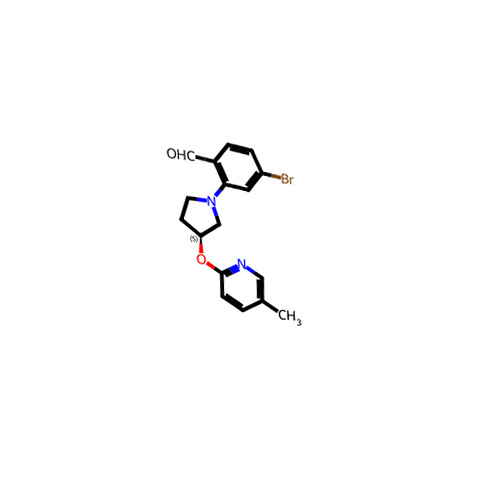 Cc1ccc(O[C@H]2CCN(c3cc(Br)ccc3C=O)C2)nc1